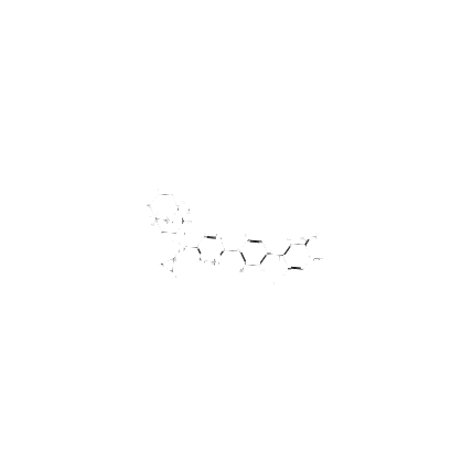 Cn1cc(F)c(-c2ccc(-c3ncc(N(C4CC4)[C@H]4C[C@]5(C)CCC[C@](C)(C4)N5)nn3)c(O)c2)cc1=O